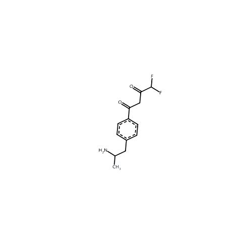 CC(N)Cc1ccc(C(=O)CC(=O)C(F)F)cc1